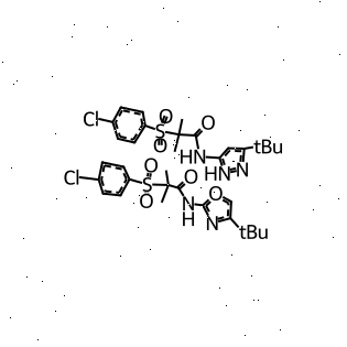 CC(C)(C)c1cc(NC(=O)C(C)(C)S(=O)(=O)c2ccc(Cl)cc2)[nH]n1.CC(C)(C)c1coc(NC(=O)C(C)(C)S(=O)(=O)c2ccc(Cl)cc2)n1